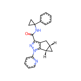 O=C(NC1(c2ccccc2)CC1)c1nn(-c2ccccn2)c2c1C[C@@H]1C[C@H]21